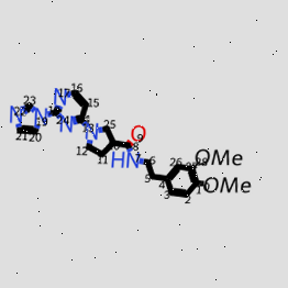 COc1ccc(CCNC(=O)C2CCN(c3ccnc(-n4ccnc4)n3)C2)cc1OC